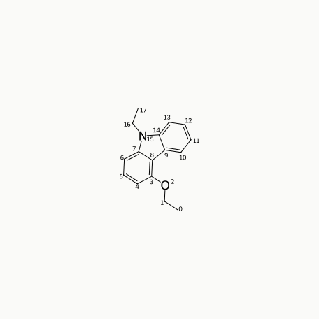 CCOc1cccc2c1c1ccccc1n2CC